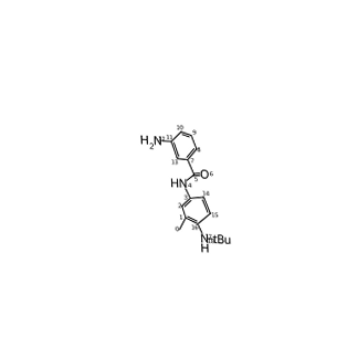 Cc1cc(NC(=O)c2cccc(N)c2)ccc1NC(C)(C)C